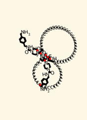 NCc1ccc(CNC(=O)N2CCN(C(=O)N3CC4(CCCCCCCCCCCCCCCCCCCCCCCCC5(CCCCCCCCCCCCCCCCCCCCCCCCCCCCCCCCC(O)(C(F)(F)F)OCN(C(=O)N6CCN(C(=O)NCc7ccc(CN)cc7)CC6)C5)[C@@](O)(C(F)(F)F)O4)C3)CC2)cc1